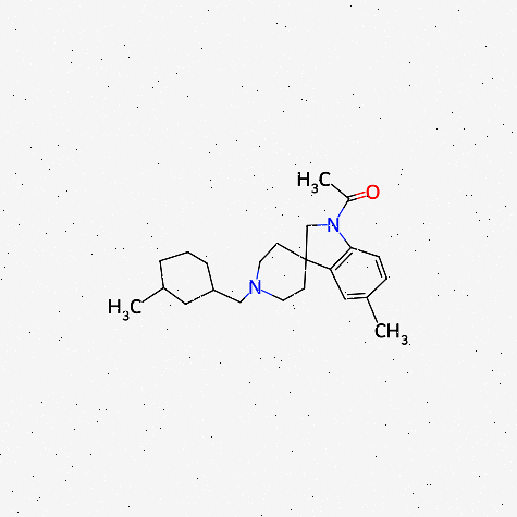 CC(=O)N1CC2(CCN(CC3CCCC(C)C3)CC2)c2cc(C)ccc21